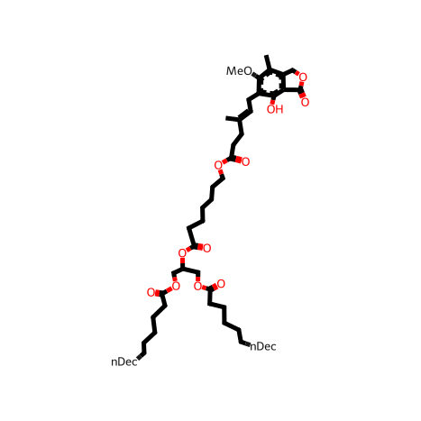 CCCCCCCCCCCCCCCC(=O)OCC(COC(=O)CCCCCCCCCCCCCCC)OC(=O)CCCCCCOC(=O)CC/C(C)=C/Cc1c(O)c2c(c(C)c1OC)COC2=O